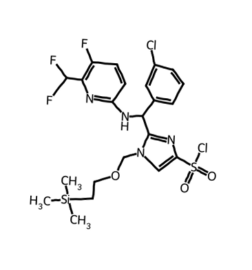 C[Si](C)(C)CCOCn1cc(S(=O)(=O)Cl)nc1C(Nc1ccc(F)c(C(F)F)n1)c1cccc(Cl)c1